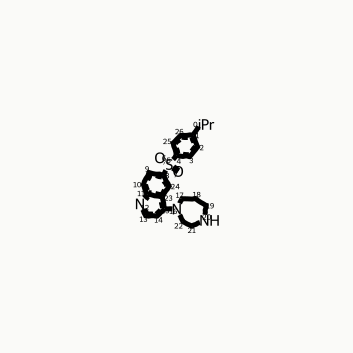 CC(C)c1ccc(S(=O)(=O)c2ccc3nccc(N4CCCNCC4)c3c2)cc1